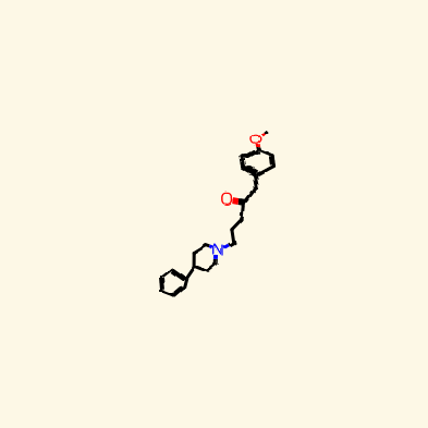 COc1ccc(CC(=O)CCCN2CCC(c3ccccc3)CC2)cc1